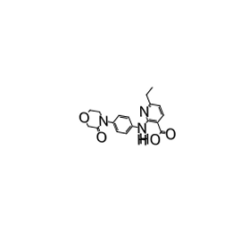 CCc1ccc(C(=O)O)c(Nc2ccc(N3CCOCC3=O)cc2)n1